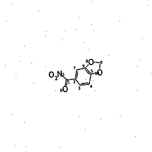 O=C(c1ccc2c(c1)OCO2)[N+](=O)[O-]